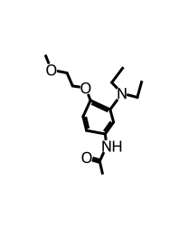 CCN(CC)c1cc(NC(C)=O)ccc1OCCOC